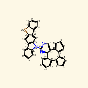 c1ccc2c(c1)-c1ccccc1-c1cnc(-n3c4ccccc4c4cc5sc6ccccc6c5cc43)nc1-c1ccccc1-2